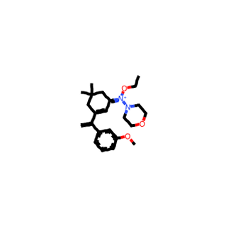 C=C(C1=C/C(=[N+](/OCC)N2CCOCC2)CC(C)(C)C1)c1cccc(OC)c1